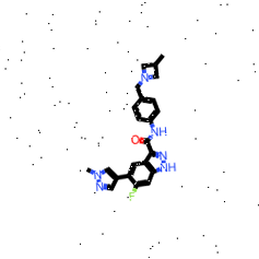 CC1CN(Cc2ccc(NC(=O)c3n[nH]c4cc(F)c(-c5cnn(C)c5)cc34)cc2)C1